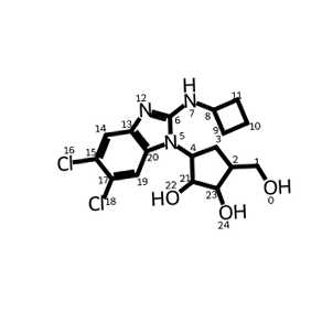 OCC1CC(n2c(NC3CCC3)nc3cc(Cl)c(Cl)cc32)C(O)C1O